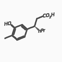 CCC[C@@H](CC(=O)O)c1ccc(C)c(O)c1